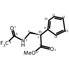 COC(=O)[C@@H](CNC(=O)C(F)(F)F)c1ccccc1